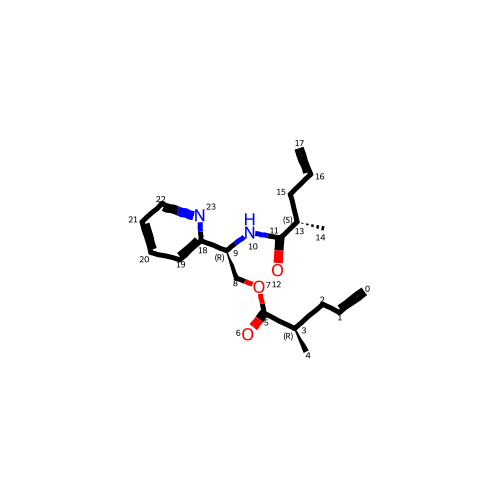 C=CC[C@@H](C)C(=O)OC[C@H](NC(=O)[C@@H](C)CC=C)c1ccccn1